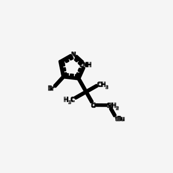 CC(C)(C)[SiH2]OC(C)(C)c1[nH]ncc1Br